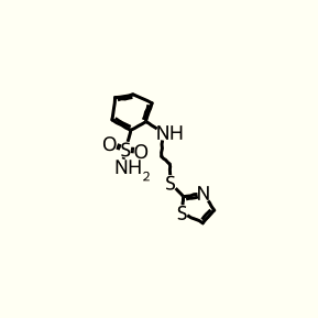 NS(=O)(=O)c1ccccc1NCCSc1nccs1